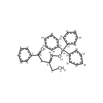 CCC(CC(=O)c1ccccc1)=NO[Si](c1ccccc1)(c1ccccc1)c1ccccc1